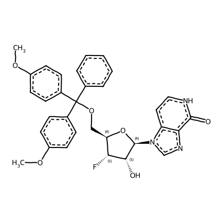 COc1ccc(C(OC[C@H]2O[C@@H](n3cnc4c(=O)[nH]ccc43)[C@H](O)[C@@H]2F)(c2ccccc2)c2ccc(OC)cc2)cc1